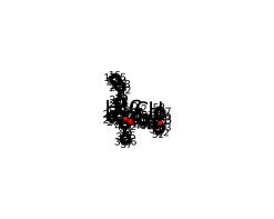 CC1(C)c2cc(N(c3ccc(-c4ccc5ccccc5c4)cc3)c3ccccc3-c3cccc(-c4ccccc4)c3)ccc2-c2ccc(-n3c4ccccc4c4ccccc43)cc21